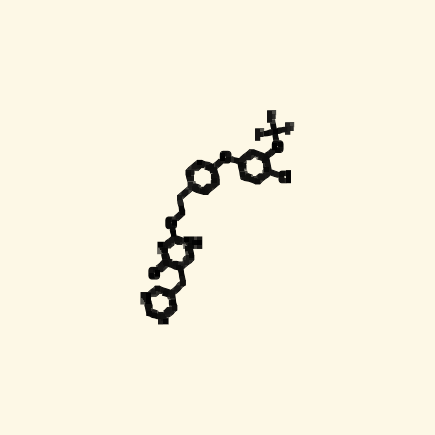 O=c1nc(OCCc2ccc(Oc3ccc(Cl)c(OC(F)(F)F)c3)cc2)[nH]cc1Cc1cncnc1